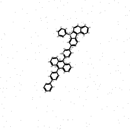 c1ccc(-c2ccc(-c3c4ccccc4c(-c4ccc(-c5ccc6c7c8ccccc8ccc7n(-c7ccccc7)c6c5)cn4)c4ccccc34)cc2)cc1